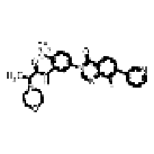 CC(C(=O)Nc1cc(-n2cnc3c(F)c(-c4cccnc4)ccc3c2=O)ccc1OC(F)(F)F)N1CCOCC1